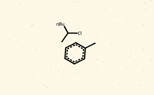 CCCCC(C)Cl.Cc1ccccc1